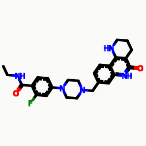 CCNC(=O)c1ccc(N2CCN(Cc3ccc4c5c(c(=O)[nH]c4c3)CCCN5)CC2)cc1F